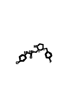 O=C(NC[C@@H]1C[C@H](Cc2ccc(F)cc2)CCN1)Nc1ccc(Cl)cc1